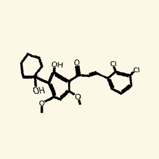 COc1cc(OC)c(C2(O)CCCCC2)c(O)c1C(=O)C=Cc1cccc(Cl)c1Cl